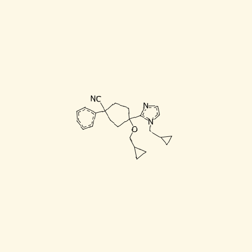 N#CC1(c2ccccc2)CCC(OCC2CC2)(c2nccn2CC2CC2)CC1